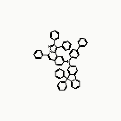 c1ccc(-c2ccc(N(c3ccc4c(c3)C(c3ccccc3)(c3ccccc3)c3ccccc3-4)c3ccc4cc(-c5ccccc5)n5nc(-c6ccccc6)c(-c6ccccc6)c5c4c3)cc2)cc1